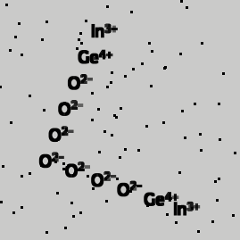 [Ge+4].[Ge+4].[In+3].[In+3].[O-2].[O-2].[O-2].[O-2].[O-2].[O-2].[O-2]